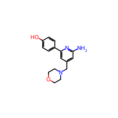 Nc1cc(CN2CCOCC2)cc(-c2ccc(O)cc2)n1